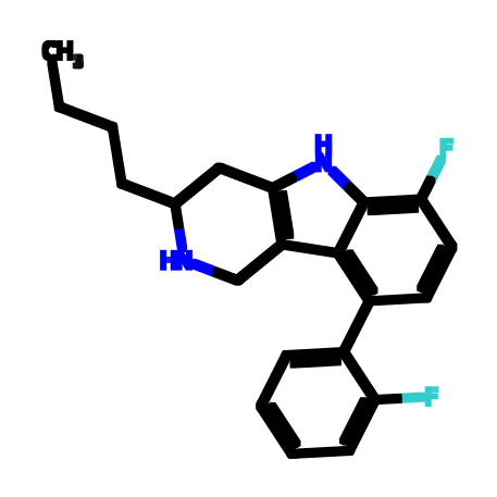 CCCCC1Cc2[nH]c3c(F)ccc(-c4ccccc4F)c3c2CN1